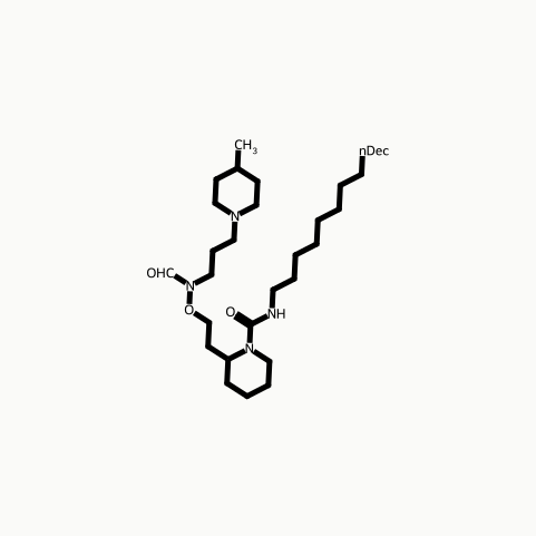 CCCCCCCCCCCCCCCCCCNC(=O)N1CCCCC1CCON(C=O)CCCN1CCC(C)CC1